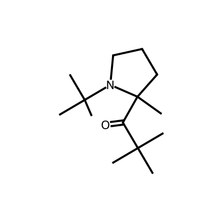 CC(C)(C)C(=O)C1(C)CCCN1C(C)(C)C